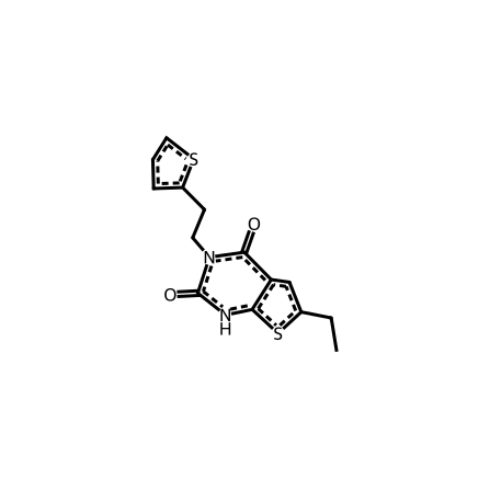 CCc1cc2c(=O)n(CCc3cccs3)c(=O)[nH]c2s1